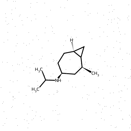 CC(C)N[C@H]1CC[C@H]2CC2[C@@H](C)C1